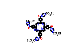 CCOC(=O)N1CCN(C(=O)c2ccc(-c3c4nc(c(-c5ccc(C(=O)N6CCN(C(=O)OCC)CC6)cc5)c5ccc([nH]5)c(-c5ccc(C(=O)N6CCN(C(=O)OCC)CC6)cc5)c5nc(c(-c6ccc(C(=O)N7CCN(C(=O)OCC)CC7)cc6)c6ccc3[nH]6)C=C5)C=C4)cc2)CC1